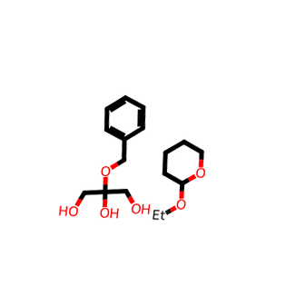 CCOC1CCCCO1.OCC(O)(CO)OCc1ccccc1